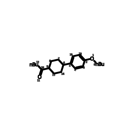 CCCCOc1ccc(C2CCC(C(=O)CCCC)CC2)cc1